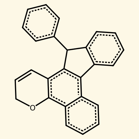 C1=Cc2c3c(c4ccccc4c2OC1)-c1ccccc1C3c1ccccc1